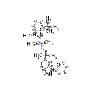 C/C(CCC(C)(C)c1ccc2cnn(C3CCCCO3)c2c1)=C(/C)c1nc2c(C(C)(C)C)cccc2n1C